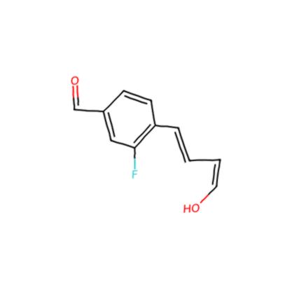 O=Cc1ccc(/C=C/C=C\O)c(F)c1